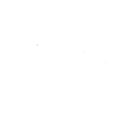 CCC(O)CC(=O)OC(CC)CC(=O)O